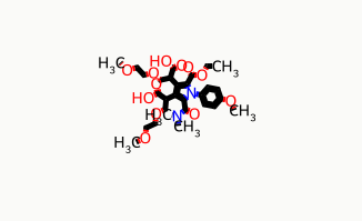 CCOC(=O)c1c(C(COCCOC)C(=O)O)c(C(COCCOC)C(=O)O)c(C(=O)N(C)C)n1-c1ccc(OC)cc1